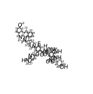 COc1ccc(CN2CCN(C3CC4(CCN(c5cc(Oc6cnc7[nH]ccc7c6)c(C(=O)NS(=O)(=O)c6cc([N+](=O)[O-])c(NC[C@H]7CC[C@](C)(O)CC7)c7[nH]cnc67)cc5F)CC4)C3)[C@H](c3ccccc3C(C)C)C2)cc1